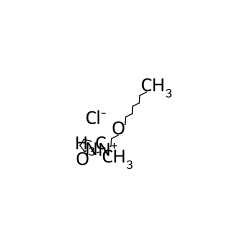 CCCCCCCCOCCC[N+](C)(C)CN1CCCC1=O.[Cl-]